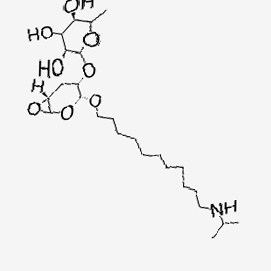 CC(C)NCCCCCCCCCCCO[C@@H]1OC2O[C@@H]2CC1OC1OC(C)[C@H](O)C(O)[C@@H]1O